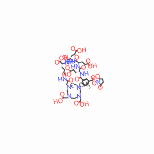 CN1CCN(CC(=O)O)CCN(CC(=O)O)CCN(CC(=O)NCCCC[C@@H](NC(=O)[C@@H](CCC(=O)O)NC(=O)[C@@H](CCC(=O)O)NC(=O)[C@@H](CCC(=O)O)NC(=O)c2cccc(C(=O)ON3C(=O)CCC3=O)c2)C(=O)O)CC1